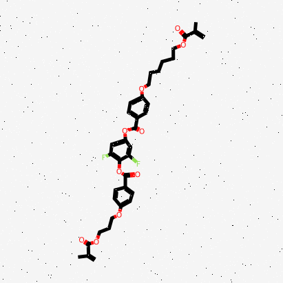 C=C(C)C(=O)OCCCCCCOc1ccc(C(=O)Oc2cc(F)c(OC(=O)c3ccc(OCCCOC(=O)C(=C)C)cc3)c(F)c2)cc1